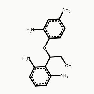 Nc1ccc(OC(CO)c2c(N)cccc2N)c(N)c1